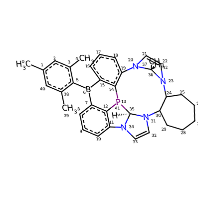 Cc1cc(C)c(B2c3cccc4c3P3c5c2cccc5N2C=CN(C5CCCCCC5N5C=CN4[C@H]53)[C@H]2C)c(C)c1